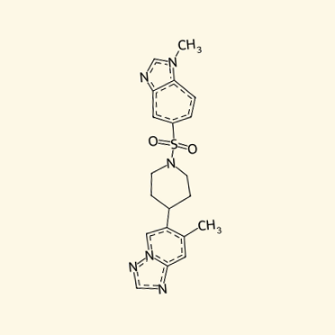 Cc1cc2ncnn2cc1C1CCN(S(=O)(=O)c2ccc3c(c2)ncn3C)CC1